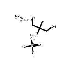 CC(CO)(CO)C(=O)O.O=P([O-])([O-])[O-].[Na+].[Na+].[Na+]